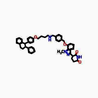 Cn1nc(C2CCC(=O)NC2=O)c2cccc(OCc3ccc(CNCCCCOc4ccc(C5c6ccccc6CCC5c5ccccc5)cc4)cc3)c21